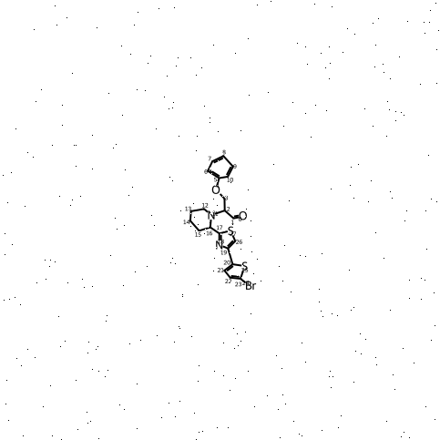 O=CC(COc1ccccc1)N1CCCCC1c1nc(-c2ccc(Br)s2)cs1